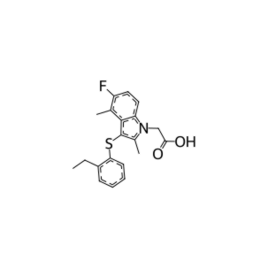 CCc1ccccc1Sc1c(C)n(CC(=O)O)c2ccc(F)c(C)c12